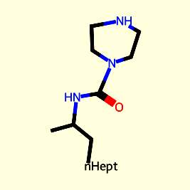 CCCCCCCCC(C)NC(=O)N1CCNCC1